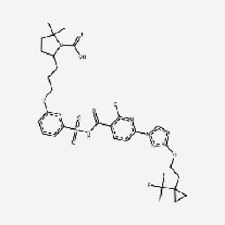 CC1(C)CCC(CCCOc2cccc(S(=O)(=O)NC(=O)c3ccc(-n4ccc(OCCC5(C(F)(F)F)CC5)n4)nc3Cl)n2)N1C(=O)O